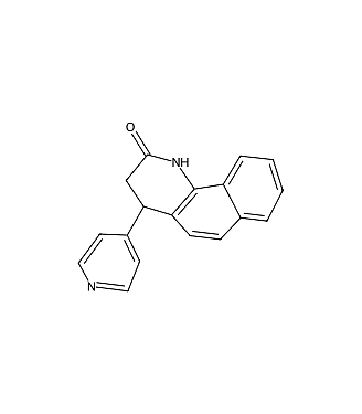 O=C1CC(c2ccncc2)c2ccc3ccccc3c2N1